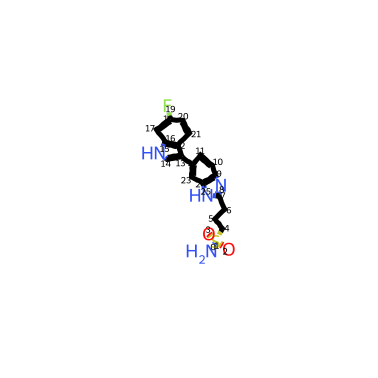 NS(=O)(=O)CCCc1nc2ccc(-c3c[nH]c4cc(F)ccc34)cc2[nH]1